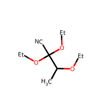 CCOC(C)C(C#N)(OCC)OCC